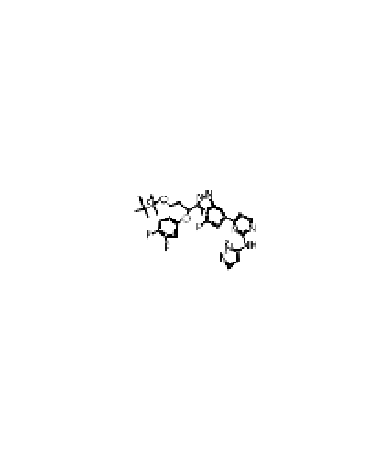 Cn1nccc1Nc1nccc(-c2cc(F)n3c(C(CCO[Si](C)(C)C(C)(C)C)Oc4ccc(F)c(F)c4)nnc3c2)n1